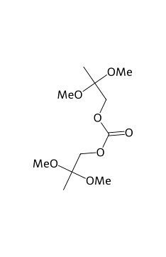 COC(C)(COC(=O)OCC(C)(OC)OC)OC